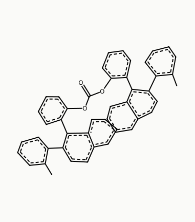 Cc1ccccc1-c1ccc2ccccc2c1-c1ccccc1OC(=O)Oc1ccccc1-c1c(-c2ccccc2C)ccc2ccccc12